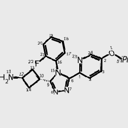 CC(C)Oc1ccc(-c2nnc([C@H]3C[C@H](N)C3)n2-c2ccccc2F)nc1